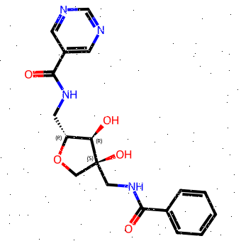 O=C(NC[C@H]1OC[C@@](O)(CNC(=O)c2ccccc2)[C@@H]1O)c1cncnc1